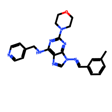 Cc1cccc(C=Nn2cnc3c(NCc4ccncc4)nc(N4CCOCC4)nc32)c1